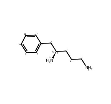 NCCC[C@@H](N)Cc1ccccc1